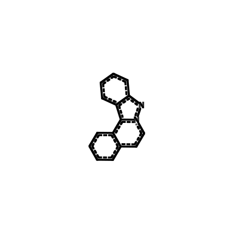 c1ccc2c(c1)ccn1nc3ccccc3c21